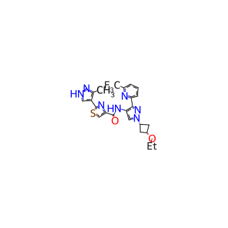 CCO[C@H]1C[C@H](n2cc(NC(=O)c3csc(-c4c[nH]nc4C)n3)c(-c3cccc(C(F)(F)F)n3)n2)C1